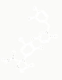 NC(=O)c1noc(=O)n1-c1cc(Cl)c(Oc2ccc(=O)n(Cc3ccc(F)c(F)c3)c2)c(Cl)c1